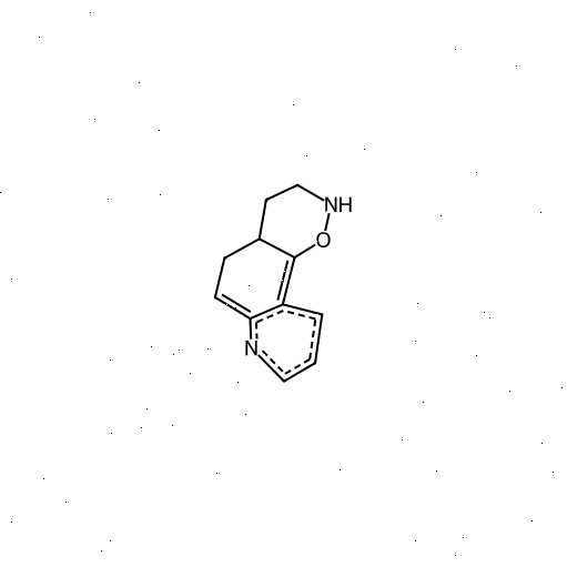 C1=c2ncccc2=C2ONCCC2C1